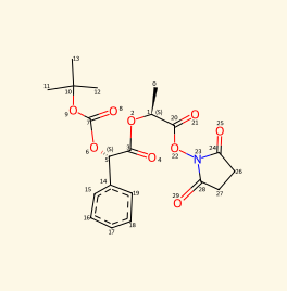 C[C@H](OC(=O)[C@@H](OC(=O)OC(C)(C)C)c1ccccc1)C(=O)ON1C(=O)CCC1=O